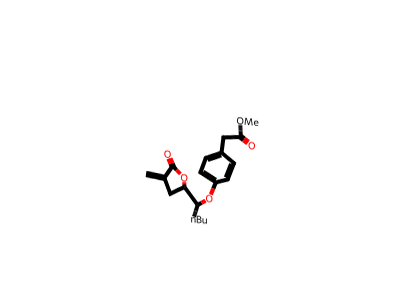 C=C1CC(C(CCCC)Oc2ccc(CC(=O)OC)cc2)OC1=O